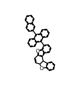 C1=CC2Oc3ccccc3C2c2c1oc1c(-c3c4ccccc4c(-c4ccc5ccccc5c4)c4ccccc34)cccc21